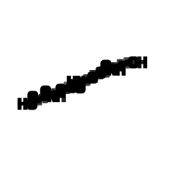 O=C(O)CCCC(=O)NCCOCCOCC(=O)NCCOCCOCC(=O)NCCCCCO